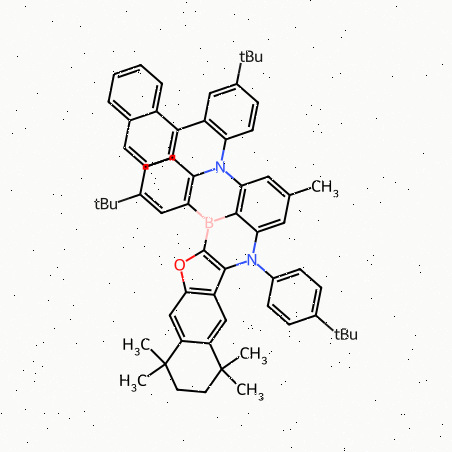 Cc1cc2c3c(c1)N(c1ccc(C(C)(C)C)cc1)c1c(oc4cc5c(cc14)C(C)(C)CCC5(C)C)B3C1=C(CCC(C(C)(C)C)=C1)N2c1ccc(C(C)(C)C)cc1-c1cccc2ccccc12